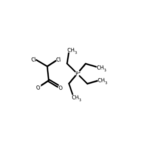 CC[P+](CC)(CC)CC.O=C([O-])C(Cl)Cl